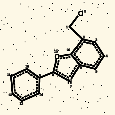 ClCc1cccc2nc(-c3ccccc3)oc12